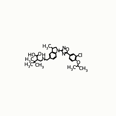 CC(C)Oc1ccc(-c2nc(N3CC(C)c4cc(CNCC(C(=O)O)C(C)(C)C)ccc43)no2)cc1Cl